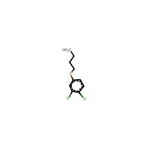 O=C(O)CCCSc1ccc(Cl)c(Cl)c1